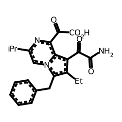 CCc1c(C(=O)C(N)=O)c2c(C(=O)C(=O)O)nc(C(C)C)cn2c1Cc1ccccc1